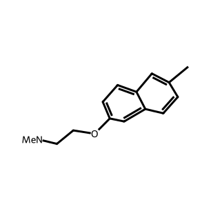 CNCCOc1ccc2cc(C)ccc2c1